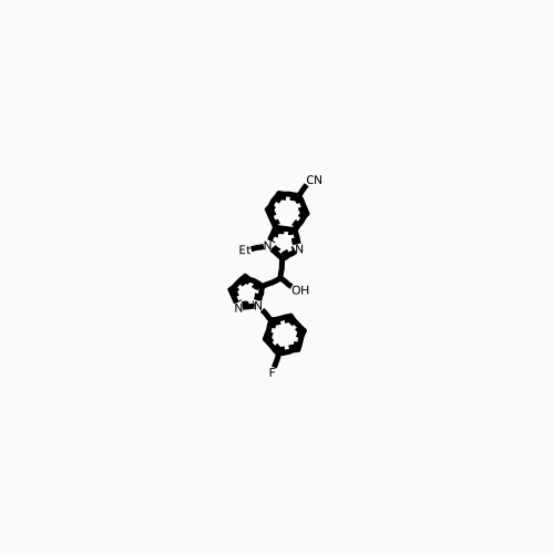 CCn1c(C(O)c2ccnn2-c2cccc(F)c2)nc2cc(C#N)ccc21